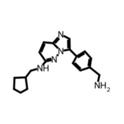 NCc1ccc(-c2cnc3ccc(NCC4CCCC4)nn23)cc1